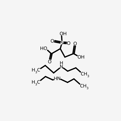 CCCNCCC.CCCNCCC.O=C(O)CC(C(=O)O)S(=O)(=O)O